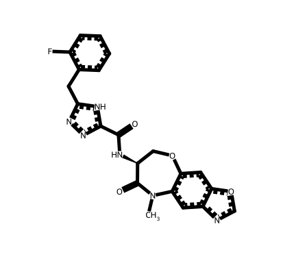 CN1C(=O)[C@@H](NC(=O)c2nnc(Cc3ccccc3F)[nH]2)COc2cc3ocnc3cc21